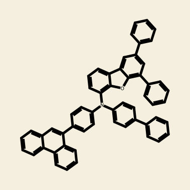 c1ccc(-c2ccc(N(c3ccc(-c4cc5ccccc5c5ccccc45)cc3)c3cccc4c3oc3c(-c5ccccc5)cc(-c5ccccc5)cc34)cc2)cc1